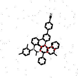 Cc1ccc(N(c2ccc(-c3ccc(C#N)cc3)cc2-c2cccc(N(c3ccc(C)cc3C)C(C)C)c2-c2nc(-c3ccccc3)nc(-c3ccccc3)n2)C(C)C)c(C)c1